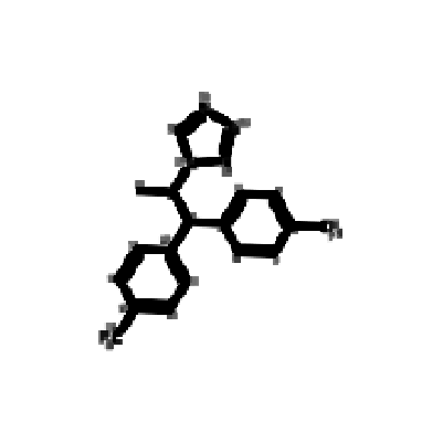 CC(C(c1ccc(C(F)(F)F)cc1)c1ccc(C(F)(F)F)cc1)n1cnnn1